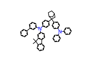 CC1(C)c2ccccc2-c2ccc(N(c3ccc(C4(c5ccc(N(c6ccccc6)c6ccccc6)cc5)CC5CCC4C5)cc3)c3cccc(-c4ccccc4)c3)cc21